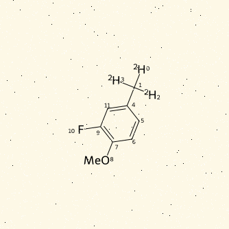 [2H]C([2H])([2H])c1ccc(OC)c(F)c1